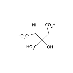 O=C(O)CC(O)(CC(=O)O)C(=O)O.[Ni]